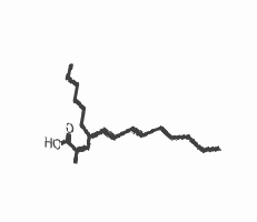 CCCCCCCCCC(C=C(C)C(=O)O)CCCCCC